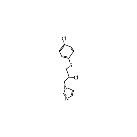 Clc1ccc(SCC(Cl)Cn2ccnc2)cc1